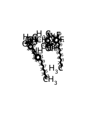 CCCCCCCCCCc1ccc(CN(C)C2CCC(C(=O)O)(C(=O)O)C2)c(F)c1F.CCCCCCCCc1ccc(CNC2CCC(C(=O)O)(C(=O)OC(C)C)C2)cc1